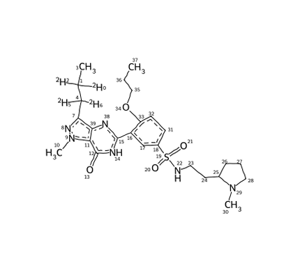 [2H]C([2H])(C)C([2H])([2H])c1nn(C)c2c(=O)[nH]c(-c3cc(S(=O)(=O)NCCC4CCCN4C)ccc3OCCC)nc12